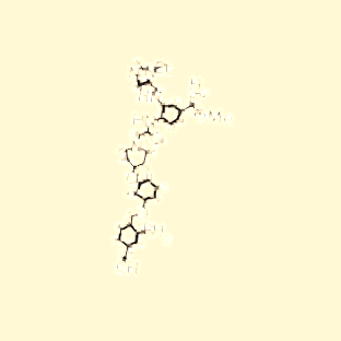 C#Cc1ccc(COc2cccc(OC3CCN(CC(=O)Nc4ccc(C(=C)OC)cc4NCc4cncn4CC)CC3)c2)c(P)c1